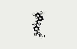 CC(C)(C)OC(=O)N1CCC(NC(=O)Cc2cccc3c(O)cc(=O)oc23)CC1